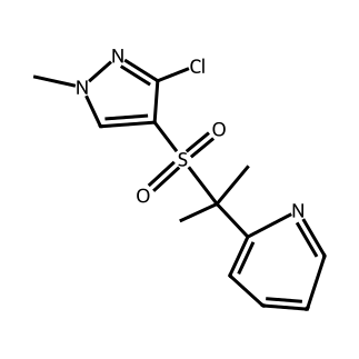 Cn1cc(S(=O)(=O)C(C)(C)c2ccccn2)c(Cl)n1